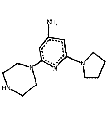 Nc1cc(N2CCCC2)nc(N2CCNCC2)c1